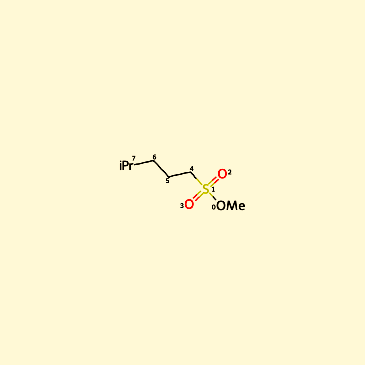 [CH2]OS(=O)(=O)CCCC(C)C